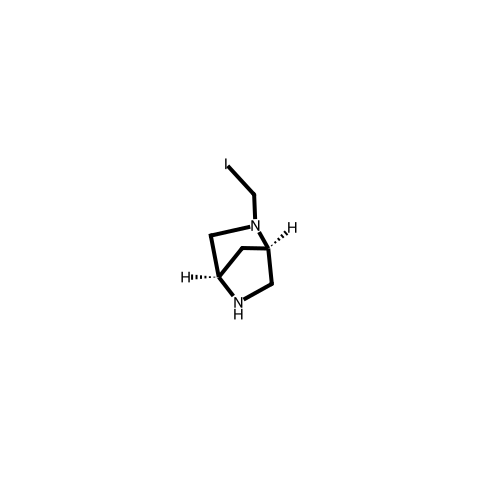 ICN1C[C@H]2C[C@@H]1CN2